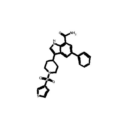 NC(=O)c1cc(-c2ccccc2)cc2c(C3CCN(S(=O)(=O)c4ccsc4)CC3)c[nH]c12